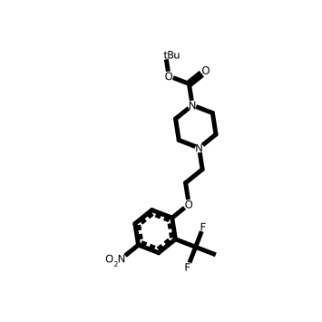 CC(C)(C)OC(=O)N1CCN(CCOc2ccc([N+](=O)[O-])cc2C(C)(F)F)CC1